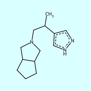 CC(CN1CC2CCCC2C1)c1cn[nH]c1